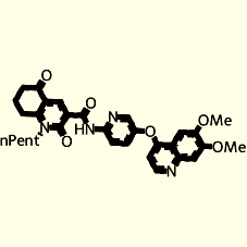 CCCCCn1c2c(cc(C(=O)Nc3ccc(Oc4ccnc5cc(OC)c(OC)cc45)cn3)c1=O)C(=O)CCC2